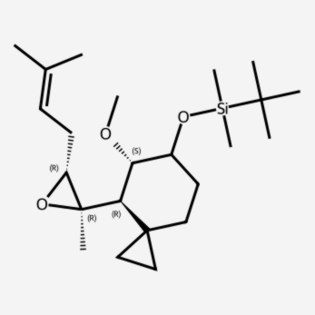 CO[C@@H]1C(O[Si](C)(C)C(C)(C)C)CCC2(CC2)[C@H]1[C@@]1(C)O[C@@H]1CC=C(C)C